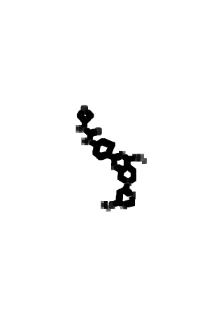 Cc1cc(N2CCc3c(N)nc(-c4ccc(NC(=O)NC5COC5)cc4)nc3C2)ncn1